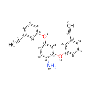 C#Cc1cccc(Oc2ccc(N)c(Oc3cccc(C#C)c3)c2)c1